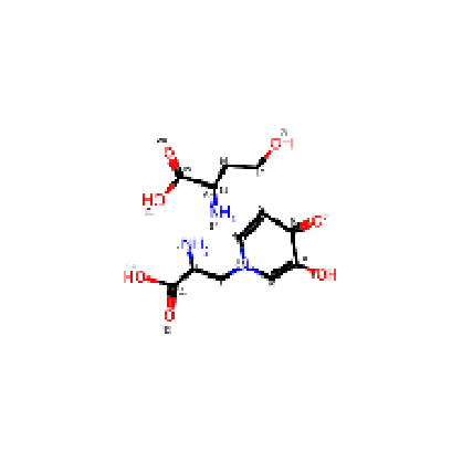 NC(Cn1ccc(=O)c(O)c1)C(=O)O.N[C@H](CCO)C(=O)O